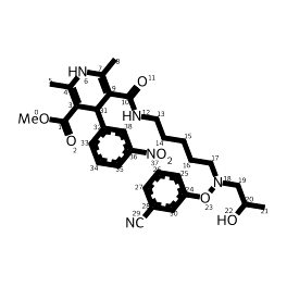 COC(=O)C1=C(C)NC(C)=C(C(=O)NCCCCCN(CC(C)O)Oc2cccc(C#N)c2)C1c1cccc([N+](=O)[O-])c1